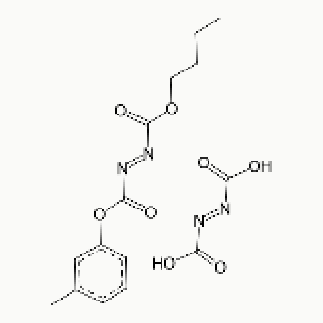 CCCCOC(=O)N=NC(=O)Oc1cccc(C)c1.O=C(O)N=NC(=O)O